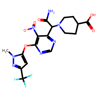 Cn1nc(C(F)(F)F)cc1Oc1ncnc(C(C(N)=O)N2CCC(C(=O)O)CC2)c1[N+](=O)[O-]